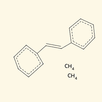 C.C.C(=Cc1ccccc1)c1ccccc1